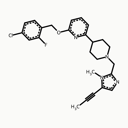 CC#Cc1cnc(CN2CCC(c3cccc(OCc4ccc(Cl)cc4F)n3)CC2)n1C